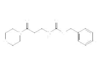 O=C(NCCC(=O)N1CCOCC1)OCc1ccccc1